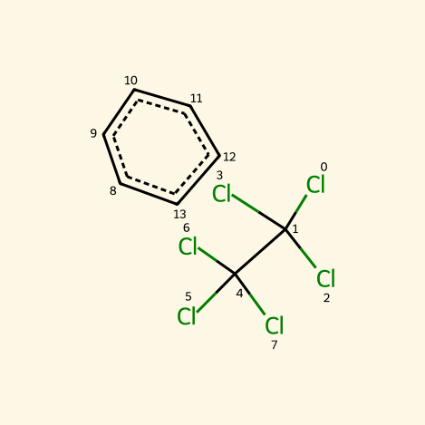 ClC(Cl)(Cl)C(Cl)(Cl)Cl.c1ccccc1